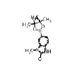 Cn1c(=O)[nH]c2ccc(B3OC(C)(C)C(C)(C)O3)cc21